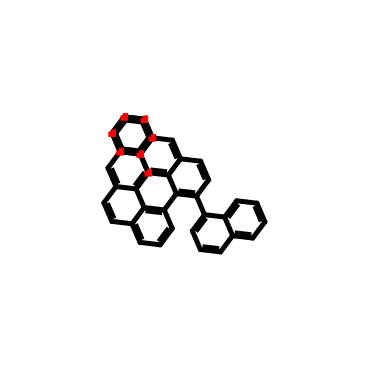 c1ccc2cc3c(-c4cccc5ccc6cc7ccccc7cc6c45)c(-c4cccc5ccccc45)ccc3cc2c1